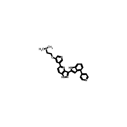 CN(C)CCOc1cncc(-c2ccc3[nH]nc(-c4cc5c(-c6ccncc6)cccc5[nH]4)c3n2)c1